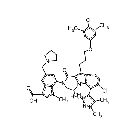 Cc1cc(OCCCc2c3n(c4c(-c5c(C)nn(C)c5C)c(Cl)ccc24)[C@H](C)CN(c2cc(CN4CCCC4)cc4c(C(=O)O)cn(C)c24)C3=O)cc(C)c1Cl